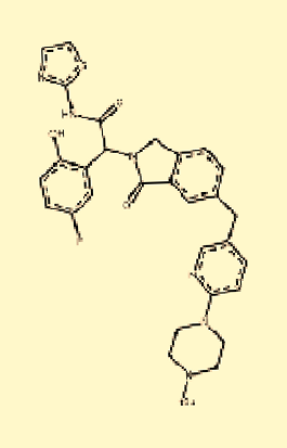 CC(C)(C)N1CCN(c2ccc(Cc3ccc4c(c3)C(=O)N(C(C(=O)Nc3nccs3)c3cc(F)ccc3O)C4)cn2)CC1